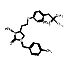 CCCN1C(=O)N(Cc2ccc(C)cc2)CC1CCOc1ccc(CC(C)(OC)C(=O)O)cc1